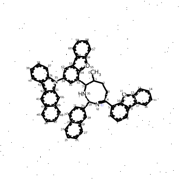 CC1CC/C(c2cccc3c2oc2ccccc23)=N\C(c2ccc3ccccc3c2)NC1c1cc(-n2c3ccccc3c3cc4ccccc4cc32)cc2c1oc1ccccc12